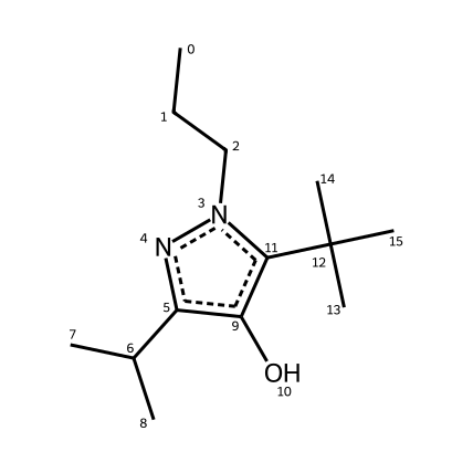 CCCn1nc(C(C)C)c(O)c1C(C)(C)C